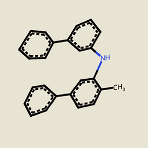 Cc1ccc(-c2ccccc2)cc1Nc1cccc(-c2ccccc2)c1